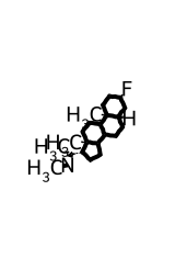 C/N=C(\C)[C@H]1CCC2C3CC[C@H]4C[C@@H](F)CC[C@]4(C)C3CC[C@@]21C